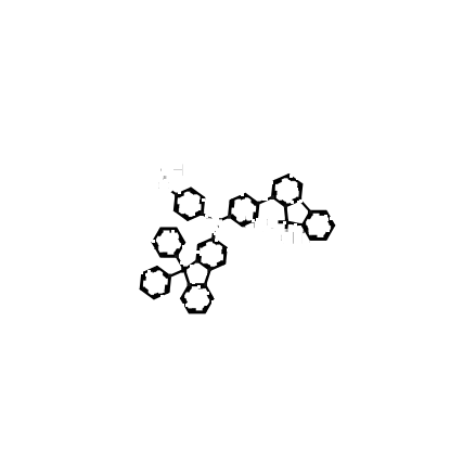 COc1ccc(N(c2ccc(-c3cccc4c3C(C)(C)c3ccccc3-4)cc2)c2ccc3c(c2)C(c2ccccc2)(c2ccccc2)c2ccccc2-3)cc1